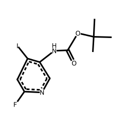 CC(C)(C)OC(=O)Nc1cnc(F)cc1I